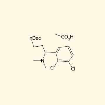 CC(=O)O.CCCCCCCCCCCCC(c1cccc(Cl)c1Cl)N(C)C